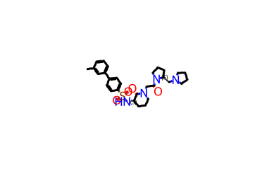 Cc1cccc(-c2ccc(S(=O)(=O)N[C@H]3CCCN(CC(=O)N4CCC[C@H]4CN4CCCC4)C3=O)cc2)c1